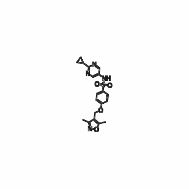 Cc1noc(C)c1COc1ccc(S(=O)(=O)Nc2cnc(C3CC3)nc2)cc1